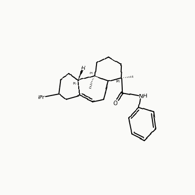 CC(C)C1CC[C@H]2C(=CCC3[C@](C)(C(=O)Nc4ccccc4)CCC[C@@]32C)C1